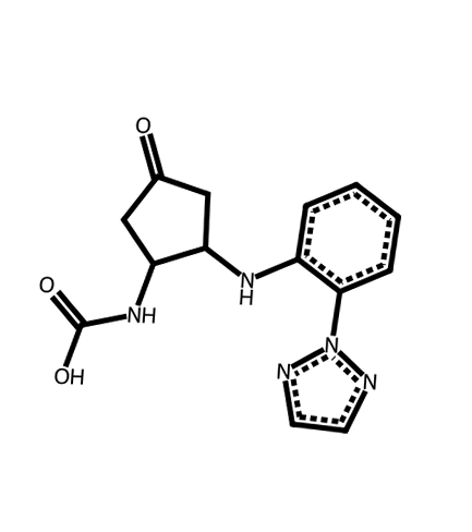 O=C1CC(NC(=O)O)C(Nc2ccccc2-n2nccn2)C1